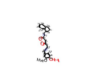 COc1cc(/C=C/C(=O)CC(=O)/C=C/c2cccc3ccccc23)ccc1O